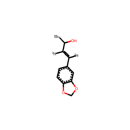 [2H]/C(=C(/[2H])C(O)C(C)(C)C)c1ccc2c(c1)OCO2